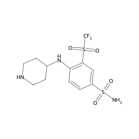 NS(=O)(=O)c1ccc(NC2CCNCC2)c(S(=O)(=O)C(F)(F)F)c1